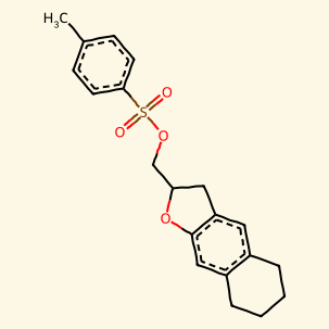 Cc1ccc(S(=O)(=O)OCC2Cc3cc4c(cc3O2)CCCC4)cc1